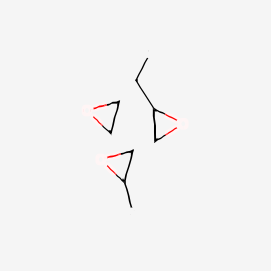 C1CO1.CC1CO1.CCC1CO1